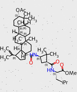 C=C(C)[C@@H]1CC[C@]2(C(=O)N[C@@H]3C[C@H](C(=O)N[C@@H](CC(C)C)C(=O)OC)C3(C)C)CC[C@]3(C)[C@H](CC[C@@H]4[C@@]5(C)CC[C@H](OC(C)=O)C(C)(C)[C@@H]5CC[C@]43C)[C@@H]12